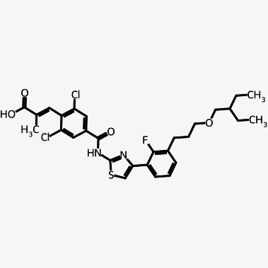 CCC(CC)COCCCc1cccc(-c2csc(NC(=O)c3cc(Cl)c(C=C(C)C(=O)O)c(Cl)c3)n2)c1F